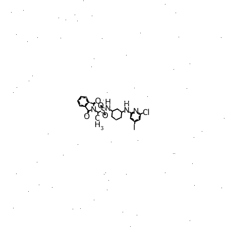 CC(N1C(=O)c2ccccc2C1=O)S(=O)(=O)NC1CCCC(Nc2cc(I)cc(Cl)n2)C1